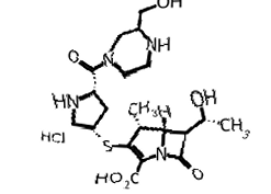 C[C@@H](O)[C@H]1C(=O)N2C(C(=O)O)=C(S[C@@H]3CN[C@H](C(=O)N4CCNC(CO)C4)C3)[C@H](C)[C@H]12.Cl